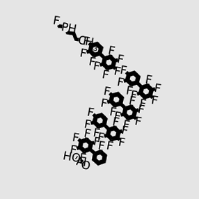 CCCCPCF.Fc1ccc(-c2c(F)c(F)c(F)c(F)c2F)c(F)c1F.Fc1ccc(-c2c(F)c(F)c(F)c(F)c2F)c(F)c1F.Fc1ccc(-c2c(F)c(F)c(F)c(F)c2F)c(F)c1F.Fc1ccc(-c2c(F)c(F)c(F)c(F)c2F)c(F)c1F.Fc1ccccc1-c1c(F)c(F)c(F)c(F)c1F.[O]=[Al][OH]